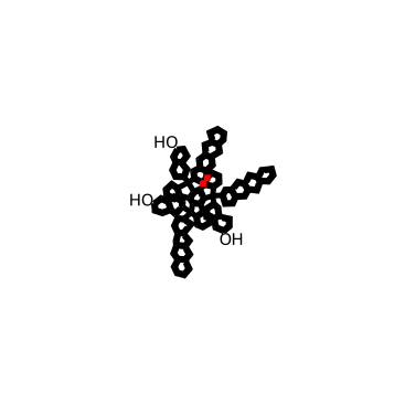 Oc1ccc2cc(C3(c4ccc5cc6cc7ccccc7cc6cc5c4)c4ccccc4-c4c3c3c(c5c4C(c4ccc6cc(O)ccc6c4)(c4ccc6cc7cc8ccccc8cc7cc6c4)c4ccccc4-5)C(c4ccc5cc(O)ccc5c4)(c4ccc5cc6cc7ccccc7cc6cc5c4)c4ccccc4-3)ccc2c1